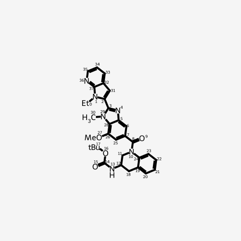 CCn1c(-c2nc3cc(C(=O)N4CC(NC(=O)OC(C)(C)C)Cc5ccccc54)cc(OC)c3n2C)cc2cccnc21